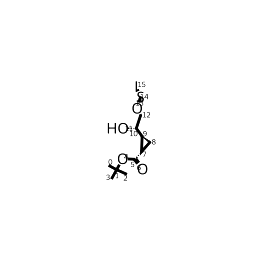 CC(C)(C)OC(=O)[C@H]1C[C@@H]1[C@H](O)COSI